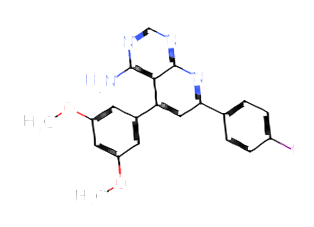 COc1cc(OC)cc(-c2cc(-c3ccc(I)cc3)nc3ncnc(N)c23)c1